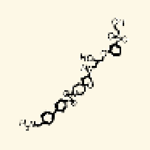 NCc1ccc(-c2ccc(S(=O)(=O)N3CCC4(CC3)CC(NCC(O)COc3cccc(S(=O)(=O)CCO)c3)CO4)cc2)cc1